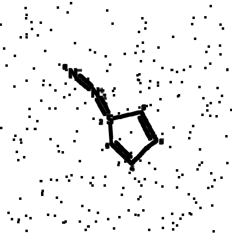 [N-]=[N+]=S1C=CC=C1